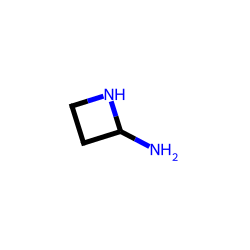 NC1CCN1